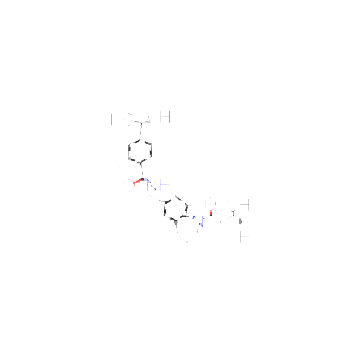 CC(C)CC(=O)N1CCCc2cc(CNC(=O)c3ccc(C(C)C)cc3)ccc21